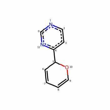 [c]1nccc(C2C=CC=CO2)n1